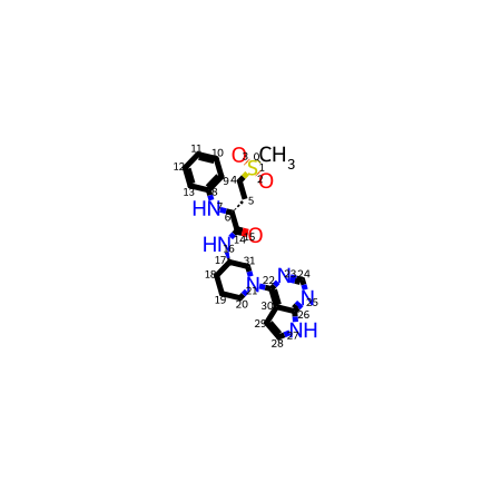 CS(=O)(=O)CC[C@@H](Nc1ccccc1)C(=O)N[C@@H]1CCCN(c2ncnc3[nH]ccc23)C1